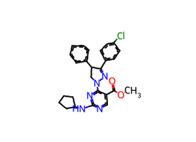 COC(=O)c1cnc(NC2CCCC2)nc1N1CC(c2ccccc2)C(c2ccc(Cl)cc2)=N1